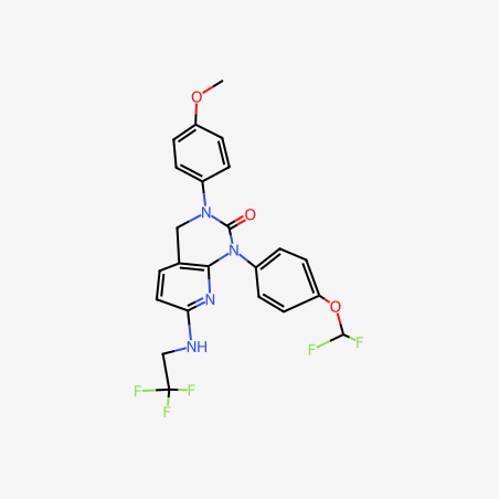 COc1ccc(N2Cc3ccc(NCC(F)(F)F)nc3N(c3ccc(OC(F)F)cc3)C2=O)cc1